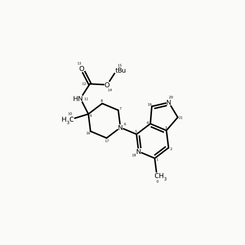 Cc1cc2c(c(N3CCC(C)(NC(=O)OC(C)(C)C)CC3)n1)C=NC2